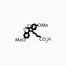 COc1ccc(C2(C)CSc3cc(OC)ccc3C2CCCCCC(=O)O)cc1